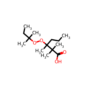 CCCC(C)(OOC(C)(C)CC)C(C)(C)C(=O)O